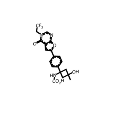 CC1(O)CC(NC(=O)O)(c2ccc(-c3cc4c(=O)n(CC(F)(F)F)cnc4o3)cc2)C1